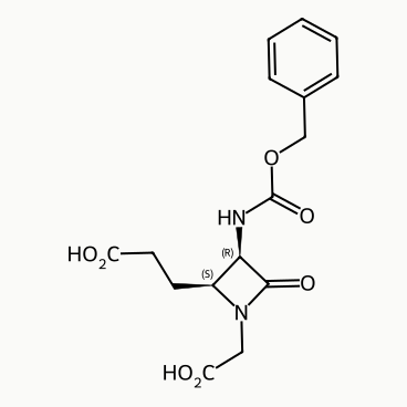 O=C(O)CC[C@H]1[C@@H](NC(=O)OCc2ccccc2)C(=O)N1CC(=O)O